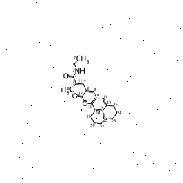 CCNC(=O)/C(C)=C/c1cc2cc3c4c(c2oc1=O)CCCN4CCC3